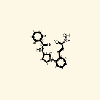 O=C(C=Cc1ccccc1N1CCC(NC(=O)c2ccccc2)C1)NO